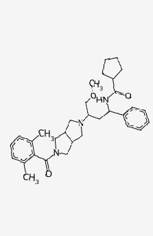 COCC(CC(NC(=O)C1CCCC1)c1ccccc1)N1CC2CN(C(=O)c3c(C)cccc3C)CC2C1